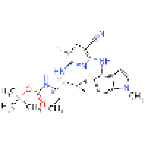 CC[C@H](NC(=O)OC(C)(C)C)[C@H](Nc1nc(Nc2cccc3c2ccn3C)c(C#N)cc1F)C1CC1